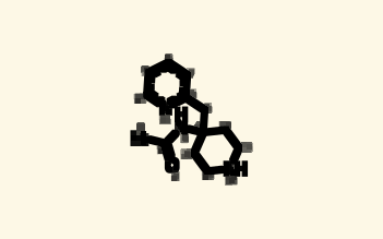 CCC(=O)NC1(Cc2ccccn2)CCNCC1